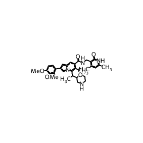 COc1ccc(-c2cc3cc(C(=O)NCc4c(C)cc(C)[nH]c4=O)c(C)c(C(C)C4CNCCO4)n3c2)c(OC)c1